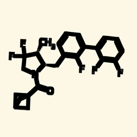 C[C@@H]1[C@H](Cc2cccc(-c3cccc(F)c3F)c2F)N(C(=O)C23CC(C2)C3)CC1(F)F